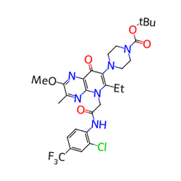 CCc1c(N2CCN(C(=O)OC(C)(C)C)CC2)c(=O)c2nc(OC)c(C)nc2n1CC(=O)Nc1ccc(C(F)(F)F)cc1Cl